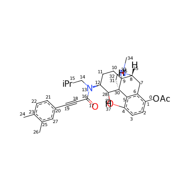 CC(=O)Oc1ccc2c3c1C[C@@H]1[C@@H]4CC[C@H](N(CC(C)C)C(=O)C#Cc5ccc(C)c(C)c5)[C@H](O2)[C@]34CCN1C